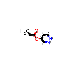 C=CC(=O)Oc1ccnnc1